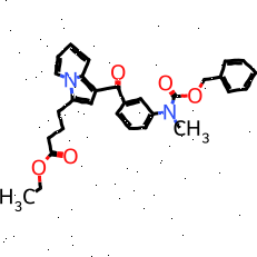 CCOC(=O)CCCc1cc(C(=O)c2cccc(N(C)C(=O)OCc3ccccc3)c2)c2ccccn12